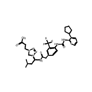 CC(C)CC(NC(=O)Cc1ccc(NC(=O)Nc2ncccc2C2CCCC2)c(C(F)(F)F)c1)N1CN(CCC(=O)O)N=N1